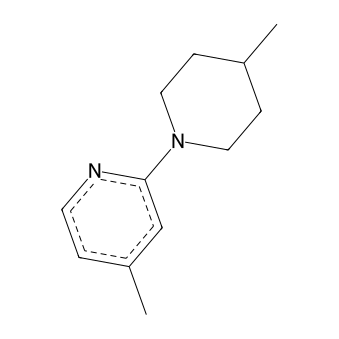 Cc1ccnc(N2CCC(C)CC2)c1